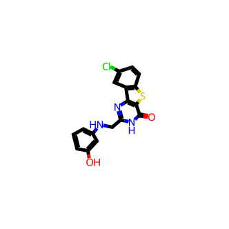 O=c1[nH]c(CNc2cccc(O)c2)nc2c1sc1ccc(Cl)cc12